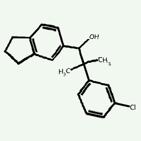 CC(C)(c1cccc(Cl)c1)C(O)c1ccc2c(c1)CCC2